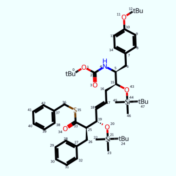 CC(C)(C)OC(=O)N[C@@H](Cc1ccc(OC(C)(C)C)cc1)[C@H](C/C=C/[C@H](O[Si](C)(C)C(C)(C)C)[C@@H](Cc1ccccc1)C(=O)SCc1ccccc1)O[Si](C)(C)C(C)(C)C